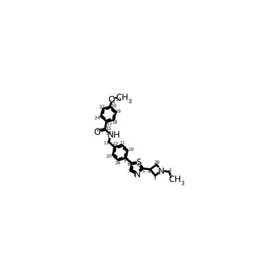 CCN1CC(c2ncc(-c3ccc(CNC(=O)c4ccc(OC)cc4)cc3)s2)C1